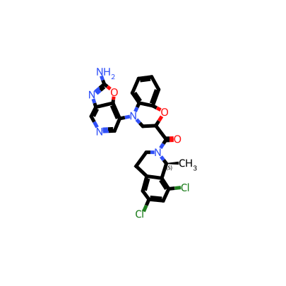 C[C@H]1c2c(Cl)cc(Cl)cc2CCN1C(=O)C1CN(c2cncc3nc(N)oc23)c2ccccc2O1